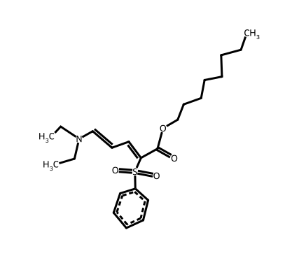 CCCCCCCCOC(=O)/C(=C/C=CN(CC)CC)S(=O)(=O)c1ccccc1